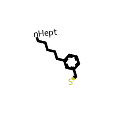 CCCCCCCCCCCCc1cccc(C=S)c1